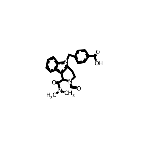 CN(C)C(=O)C1c2c(n(Cc3ccc(C(=O)O)cc3)c3ccccc23)CCN1C=O